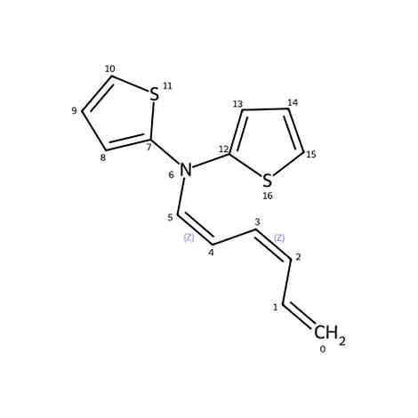 C=C/C=C\C=C/N(c1cccs1)c1cccs1